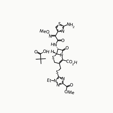 CC(C)(C)C(=O)O.CCn1nc(C(=O)OC)nc1SCC1=C(C(=O)O)N2C(=O)[C@@H](NC(=O)C(=NOC)c3csc(N)n3)[C@H]2SC1